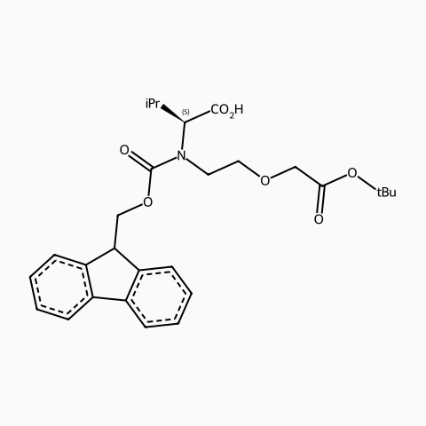 CC(C)[C@@H](C(=O)O)N(CCOCC(=O)OC(C)(C)C)C(=O)OCC1c2ccccc2-c2ccccc21